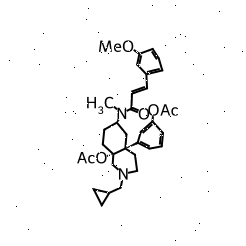 COc1cccc(C=CC(=O)N(C)[C@@H]2CC[C@]3(OC(C)=O)CN(CC4CC4)CC[C@@]3(c3cccc(OC(C)=O)c3)C2)c1